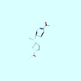 COC(=O)c1ccc(N(C)[C@@H]2CCN(C(=O)OC(C)(C)C)C2)cn1